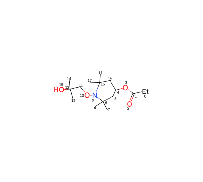 CCC(=O)OC1CC(C)(C)N(OCC(C)(C)O)C(C)(C)C1